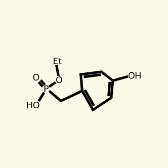 CCOP(=O)(O)Cc1ccc(O)cc1